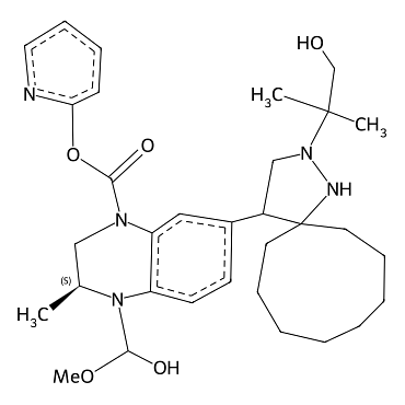 COC(O)N1c2ccc(C3CN(C(C)(C)CO)NC34CCCCCCCC4)cc2N(C(=O)Oc2ccccn2)C[C@@H]1C